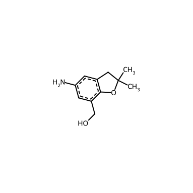 CC1(C)Cc2cc(N)cc(CO)c2O1